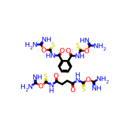 N=C(N)OC(=S)NC(=O)CCC(=O)NC(=S)OC(=N)N.N=C(N)OC(=S)NC(=O)c1ccccc1C(=O)NC(=S)OC(=N)N